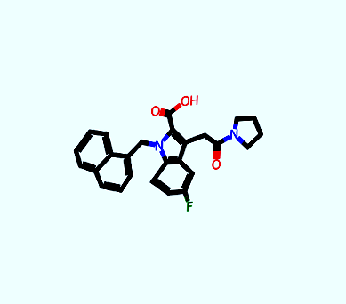 O=C(O)c1c(CC(=O)N2CCCC2)c2cc(F)ccc2n1Cc1cccc2ccccc12